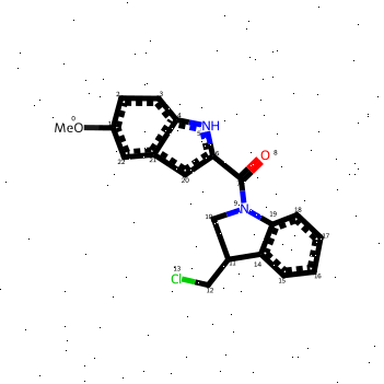 COc1ccc2[nH]c(C(=O)N3CC(CCl)c4ccccc43)cc2c1